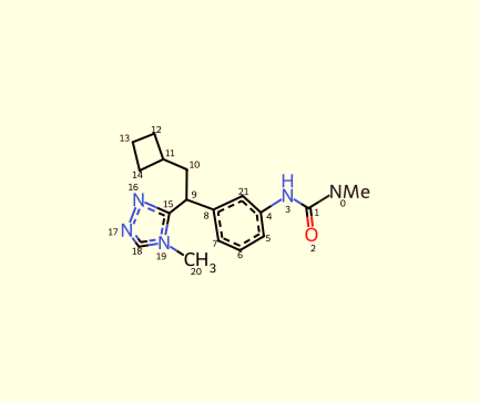 CNC(=O)Nc1cccc(C(CC2CCC2)c2nncn2C)c1